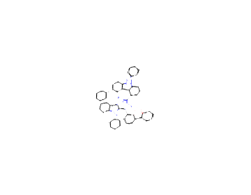 c1ccc(-c2ccc3c(c2)c2c(-c4nc(-c5cccc6c5oc5ccccc56)c5c(n4)c4ccccc4n5-c4ccccc4)cccc2n3-c2ccccc2)cc1